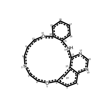 c1cnccoc2ccc3ncnc([nH]c4ccccc4oc1)c3c2